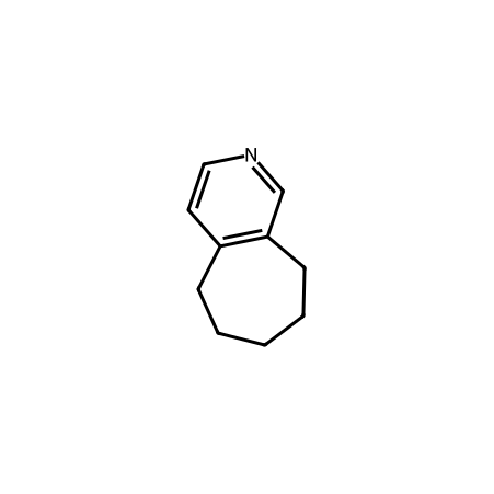 c1cc2c(cn1)CCCCC2